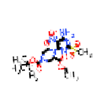 CCOC(=O)C1CN(C(=O)OC(C)(C)C)CCN1c1nc(S(C)(=O)=O)nc(N)c1[N+](=O)[O-]